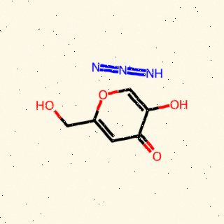 O=c1cc(CO)occ1O.[N-]=[N+]=N